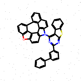 c1ccc(-c2cccc(-c3nc(-n4c5ccc6cccc7c6c5c5c6c(ccc54)oc4cccc-7c46)c4c(n3)sc3ccccc34)c2)cc1